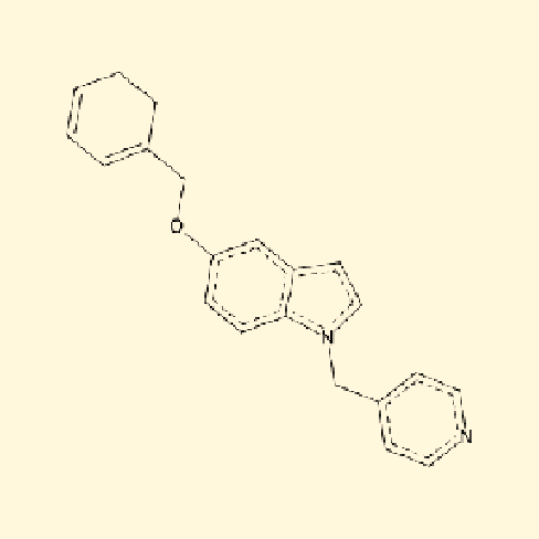 C1=CCCC(COc2ccc3c(ccn3Cc3ccncc3)c2)=C1